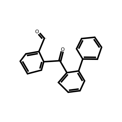 O=[C]c1ccccc1C(=O)c1ccccc1-c1ccccc1